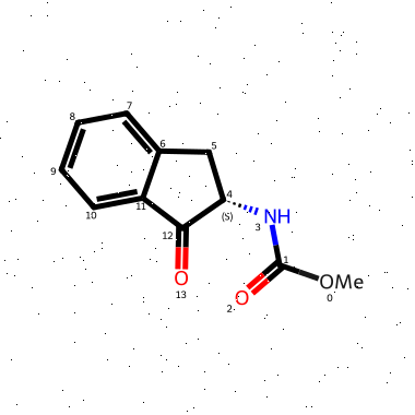 COC(=O)N[C@H]1Cc2ccccc2C1=O